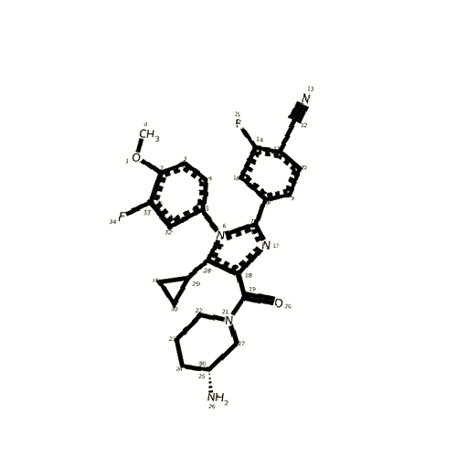 COc1ccc(-n2c(-c3ccc(C#N)c(F)c3)nc(C(=O)N3CCC[C@@H](N)C3)c2C2CC2)cc1F